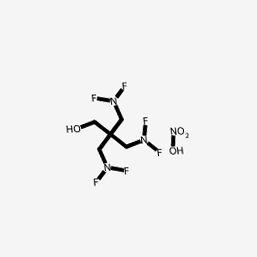 O=[N+]([O-])O.OCC(CN(F)F)(CN(F)F)CN(F)F